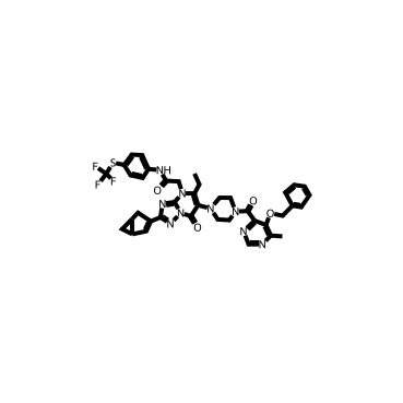 CCc1c(N2CCN(C(=O)c3ncnc(C)c3OCc3ccccc3)CC2)c(=O)n2nc(C3=CC4CC4C3)nc2n1CC(=O)Nc1ccc(SC(F)(F)F)cc1